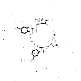 CC1=NN2CCCCCc3c(C)n[nH]c3C(=O)Nc3nc4cc(C(N)=O)ccc4n3CCCCn3c(nc4cc(C(N)=O)ccc43)NC(=O)C2C1